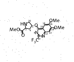 COC(=O)C1C[C@@H](Oc2nc(C(F)(F)F)nc3cc(OC)c(OC)cc23)CN1